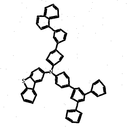 c1ccc(-c2cc(-c3ccccc3)cc(-c3ccc(N(c4ccc(-c5cccc(-c6cccc7ccccc67)c5)cc4)c4ccc5sc6ccccc6c5c4)cc3)c2)cc1